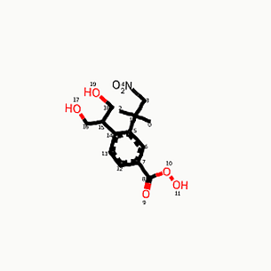 CC(C)(C[N+](=O)[O-])c1cc(C(=O)OO)ccc1C(CO)CO